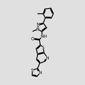 Cc1ccccc1-c1cc(NC(=O)c2cc3cc(-c4nccs4)cnc3s2)n(C)n1